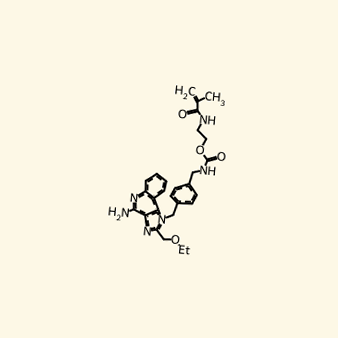 C=C(C)C(=O)NCCOC(=O)NCc1ccc(Cn2c(COCC)nc3c(N)nc4ccccc4c32)cc1